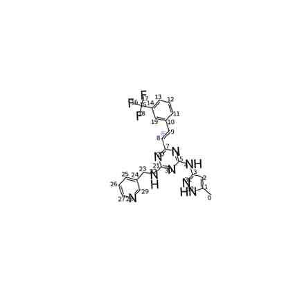 Cc1cc(Nc2nc(/C=C/c3cccc(C(F)(F)F)c3)nc(NCc3cccnc3)n2)n[nH]1